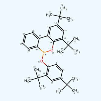 CC(C)(C)c1ccc(OP2Oc3c(cc(C(C)(C)C)cc3C(C)(C)C)-c3ccccc32)c(C(C)(C)C)c1